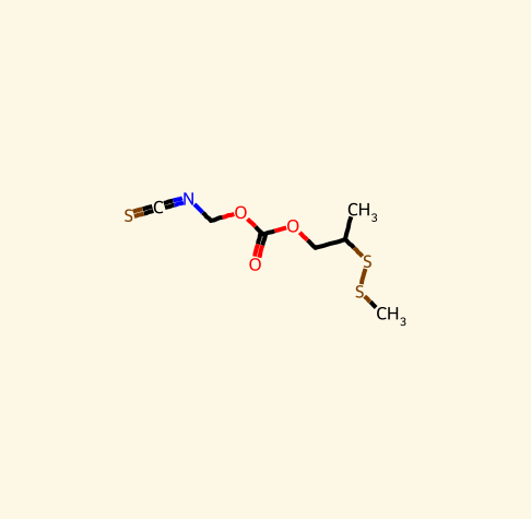 CSSC(C)COC(=O)OCN=C=S